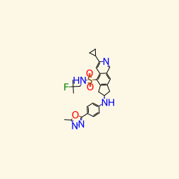 Cc1nnc(-c2ccc(N[C@@H]3Cc4cc5cnc(C6CC6)cc5c(S(=O)(=O)NCC(C)(C)F)c4C3)cc2)o1